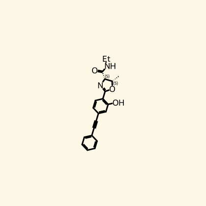 CCNC(=O)[C@H]1N=C(c2ccc(C#Cc3ccccc3)cc2O)O[C@H]1C